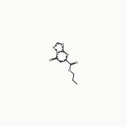 CCCOC(=O)c1cc(=O)n2ncsc2n1